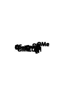 COc1ccc2nccc([C@H](O)CC[C@@H]3CCN(CCCSc4ccccc4OC)C[C@@H]3C(=O)O)c2c1